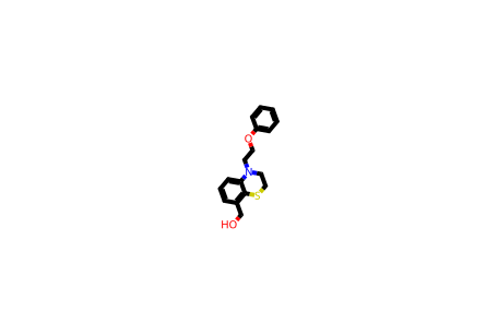 OCc1cccc2c1SCCN2CCOc1ccccc1